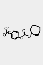 O=C(Oc1ccc([N+](=O)[O-])cc1)OC1C#CCCCCC1